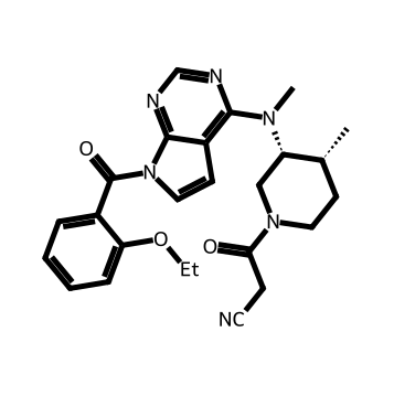 CCOc1ccccc1C(=O)n1ccc2c(N(C)[C@H]3CN(C(=O)CC#N)CC[C@H]3C)ncnc21